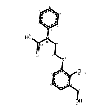 Cc1c(CO)cccc1SCCN(C(=O)O)c1ccccc1